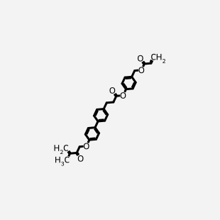 C=CC(=O)OCc1ccc(OC(=O)CCc2ccc(-c3ccc(OCC(=O)C(=C)C)cc3)cc2)cc1